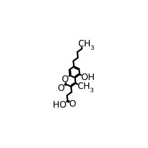 CCCCCc1cc(O)c2c(C)c(CCC(=O)O)c(=O)oc2c1